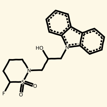 O=S1(=O)C(F)CCCN1CC(O)Cn1c2ccccc2c2ccccc21